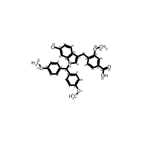 COc1ccc(C(c2ccc(OC)cc2)n2cc(Cc3ccc(C(=O)O)cc3OC)c3ccc(Cl)cc32)cc1